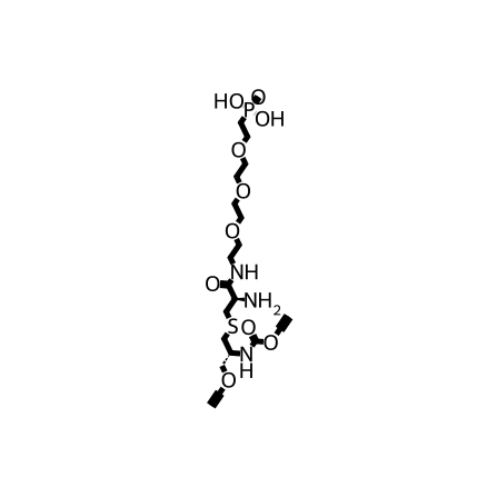 C#COC[C@H](CSC[C@H](N)C(=O)NCCOCCOCCOCCP(=O)(O)O)NC(=O)OC#C